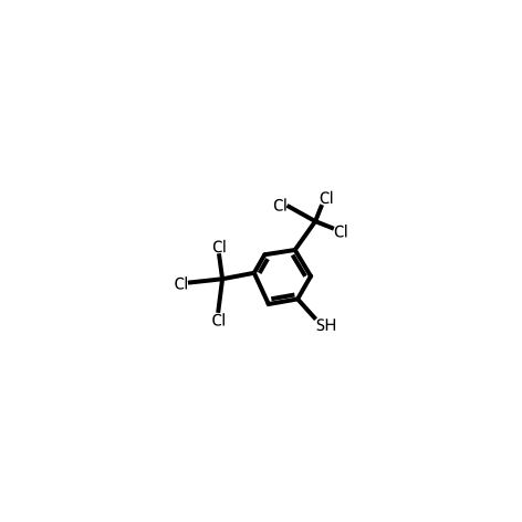 Sc1cc(C(Cl)(Cl)Cl)cc(C(Cl)(Cl)Cl)c1